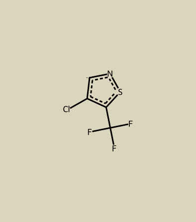 FC(F)(F)c1sn[c]c1Cl